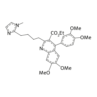 CCOC(=O)c1c(CCCCc2nccn2C)nc2cc(OC)c(OC)cc2c1-c1ccc(OC)c(OC)c1